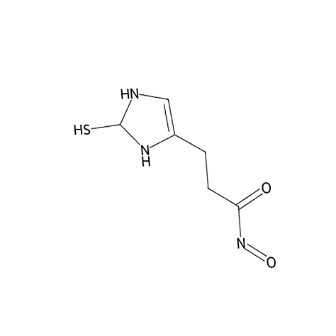 O=NC(=O)CCC1=CNC(S)N1